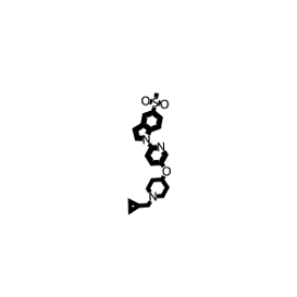 CS(=O)(=O)c1ccc2c(ccn2-c2ccc(OC3CCN(CC4CC4)CC3)cn2)c1